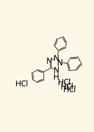 Cl.Cl.Cl.Cl.c1ccc(C2=NN(c3ccccc3)N(c3ccccc3)N2)cc1